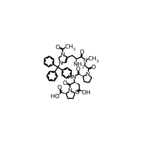 CC(=O)N1CN(C(c2ccccc2)(c2ccccc2)c2ccccc2)C=C1C[C@H](N)C(=O)N(C)CC(=O)N1CCC[C@H]1C(=O)N[C@@H](CC(=O)O)C(=O)N1CCC[C@H]1C(=O)O